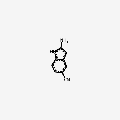 N#Cc1ccc2[nH]c(N)cc2c1